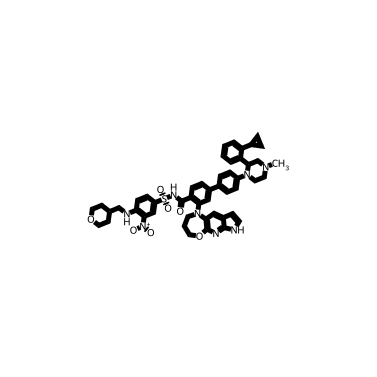 CN1CCN(c2ccc(-c3ccc(C(=O)NS(=O)(=O)c4ccc(NCC5CCOCC5)c([N+](=O)[O-])c4)c(N4CCCOc5nc6[nH]ccc6cc54)c3)cc2)C(c2ccccc2C2CC2)C1